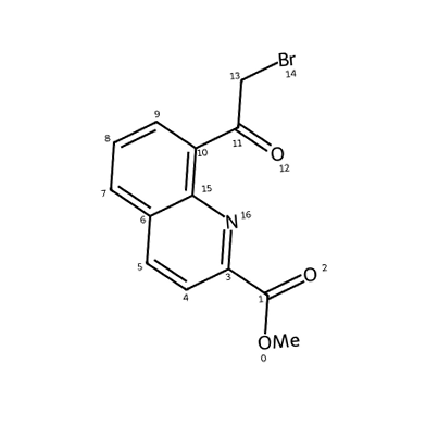 COC(=O)c1ccc2cccc(C(=O)CBr)c2n1